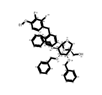 CCOc1ccc(Cc2cc([C@]34OC[C@@](CO)(O3)[C@H](OCc3ccccc3)[C@H](OCc3ccccc3)[C@H]4OCc3ccccc3)ccc2Cl)c(F)c1F